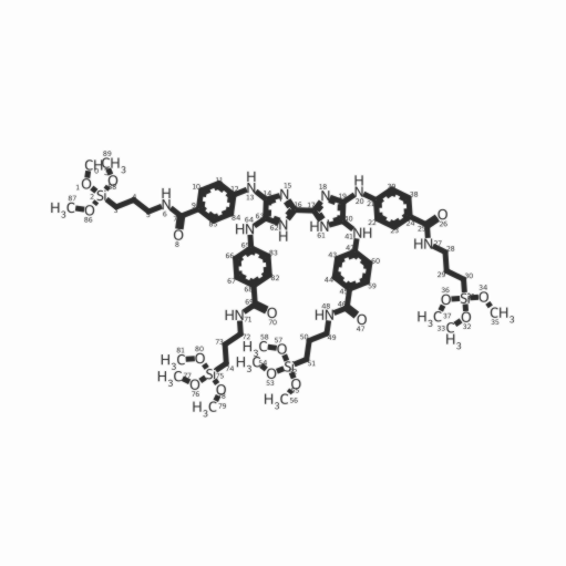 CO[Si](CCCNC(=O)c1ccc(Nc2nc(-c3nc(Nc4ccc(C(=O)NCCC[Si](OC)(OC)OC)cc4)c(Nc4ccc(C(=O)NCCC[Si](OC)(OC)OC)cc4)[nH]3)[nH]c2Nc2ccc(C(=O)NCCC[Si](OC)(OC)OC)cc2)cc1)(OC)OC